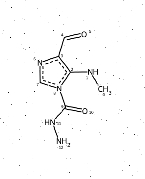 CNc1c(C=O)ncn1C(=O)NN